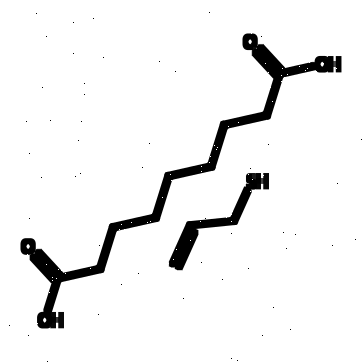 C=CCS.O=C(O)CCCCCCCC(=O)O